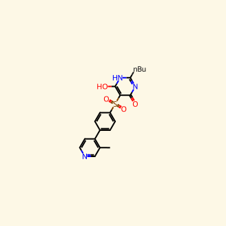 CCCCc1nc(=O)c(S(=O)(=O)c2ccc(-c3ccncc3C)cc2)c(O)[nH]1